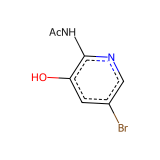 CC(=O)Nc1ncc(Br)cc1O